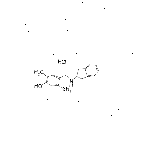 Cc1cc(CNC2Cc3ccccc3C2)c(C)cc1O.Cl